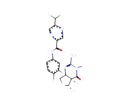 CCN1C(=O)[C@@H]2[C@@H](C(F)(F)F)OC[C@]2(c2cc(NC(=O)c3cnc(C(F)F)cn3)ccc2F)N=C1N